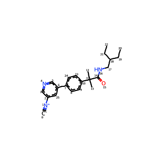 [C-]#[N+]c1cncc(-c2ccc(C(C)(C)C(=O)NCC(CC)CC)cc2)c1